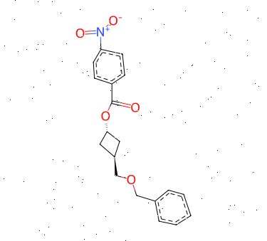 O=C(O[C@H]1C[C@H](COCc2ccccc2)C1)c1ccc([N+](=O)[O-])cc1